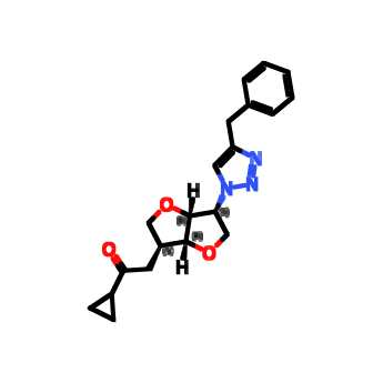 O=C(C[C@H]1CO[C@H]2[C@@H]1OC[C@@H]2n1cc(Cc2ccccc2)nn1)C1CC1